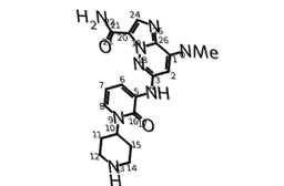 CNc1cc(Nc2cccn(C3CCNCC3)c2=O)nn2c(C(N)=O)cnc12